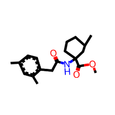 COC(=O)C1(NC(=O)Cc2ccc(C)cc2C)CCCC(C)C1